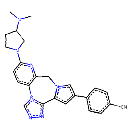 CN(C)C1CCN(c2ccc3c(n2)Cn2cc(-c4ccc(C#N)cc4)cc2-c2nncn2-3)C1